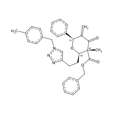 C=C1C(=O)[C@](C)(C(=O)OCc2ccccc2)[C@@H](CCc2cn(Cc3ccc(C)cc3)nn2)O[C@H]1c1ccccc1